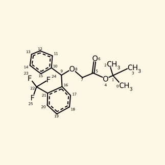 CC(C)(C)OC(=O)COC(c1ccccc1)c1ccccc1C(F)(F)F